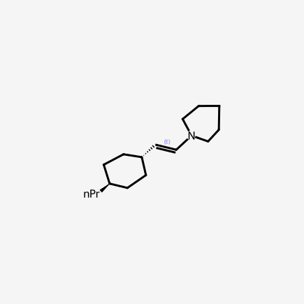 CCC[C@H]1CC[C@H](/C=C/N2CCCCC2)CC1